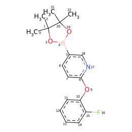 CC1(C)OB(c2ccc(Oc3ccccc3F)nc2)OC1(C)C